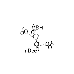 C=C(C)C(=O)OCCCC1=CC(c2ccc(OCCCCCCCCCC)c(CCCOC(=O)C(=C)C)c2)C=CC=C1O[C@H](CO)CC(C)=O